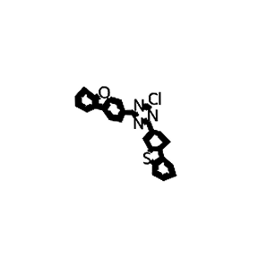 Clc1nc(C2=CC3Sc4ccccc4C3C=C2)nc(-c2ccc3c(c2)oc2ccccc23)n1